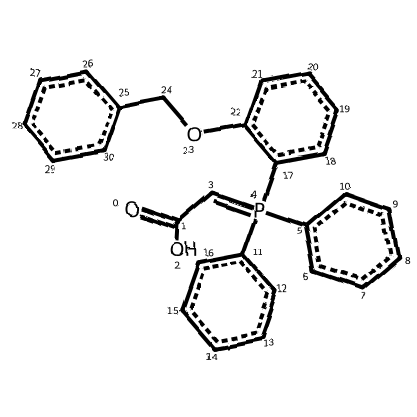 O=C(O)C=P(c1ccccc1)(c1ccccc1)c1ccccc1OCc1ccccc1